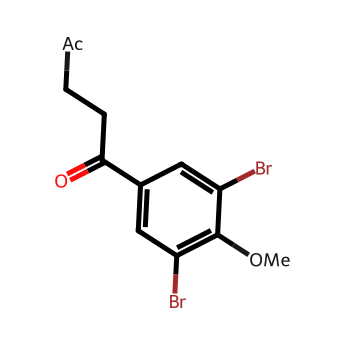 COc1c(Br)cc(C(=O)CCC(C)=O)cc1Br